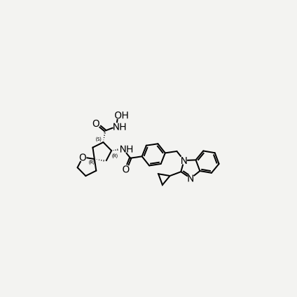 O=C(N[C@@H]1C[C@@]2(CCCO2)C[C@@H]1C(=O)NO)c1ccc(Cn2c(C3CC3)nc3ccccc32)cc1